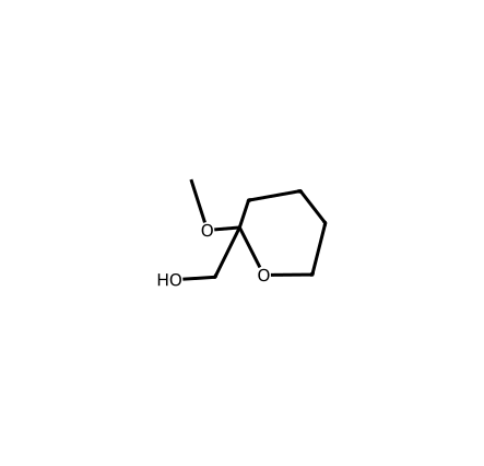 COC1(CO)CCCCO1